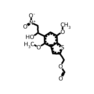 COc1c(C(O)C[N+](=O)[O-])cc(OC)c2sc(COC=O)cc12